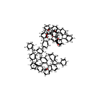 N#Cc1cc(-n2c3ccccc3c3ccc4c(c5ccccc5n4-c4ccccc4)c32)c(-c2c(C(F)(F)F)cccc2C(F)(F)F)c(-n2c3ccccc3c3ccc4c(c5ccc(-c6ccc7c(c6)c6ccc8c9ccccc9n(-c9ccccc9)c8c6n7-c6cc(C#N)cc(-n7c8ccccc8c8ccc9c%10ccccc%10n(-c%10ccccc%10)c9c87)c6-c6c(C(F)(F)F)cccc6C(F)(F)F)cc5n4-c4ccccc4)c32)c1